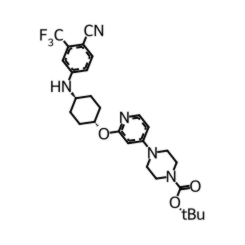 CC(C)(C)OC(=O)N1CCN(c2ccnc(O[C@H]3CC[C@H](Nc4ccc(C#N)c(C(F)(F)F)c4)CC3)c2)CC1